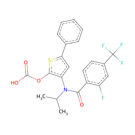 CC(C)N(C(=O)c1ccc(C(F)(F)F)cc1F)c1cc(-c2ccccc2)sc1OC(=O)O